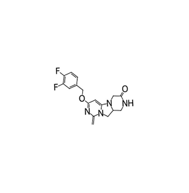 C=C1N=C(OCc2ccc(F)c(F)c2)C=C2N1CC1CNC(=O)CN21